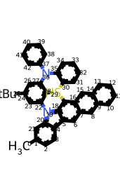 Cc1ccc2c3cc4cc5ccccc5cc4c4c3n(c2c1)-c1cc(C(C)(C)C)cc2c1[SH]4c1ccccc1N2c1ccccc1